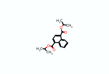 CC(C)OC(=O)c1ccc(C(=O)OC(C)C)c2ccccc12